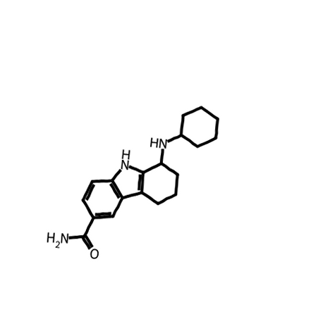 NC(=O)c1ccc2[nH]c3c(c2c1)CCCC3NC1CCCCC1